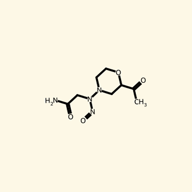 CC(=O)C1CN(N(CC(N)=O)N=O)CCO1